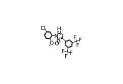 COc1ccc(Cl)cc1N1NCC(c2cc(C(F)(F)F)cc(C(F)(F)F)c2)=[N+]1[O-]